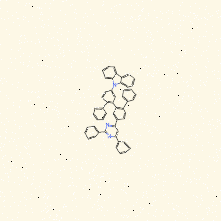 c1ccc(-c2cc(-c3ccc(-c4ccccc4)c(-c4cc(-n5c6ccccc6c6ccccc65)ccc4-c4ccccc4)c3)nc(-c3ccccc3)n2)cc1